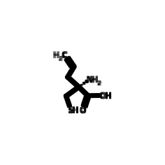 C=CC[C@](N)(CS)C(=O)O